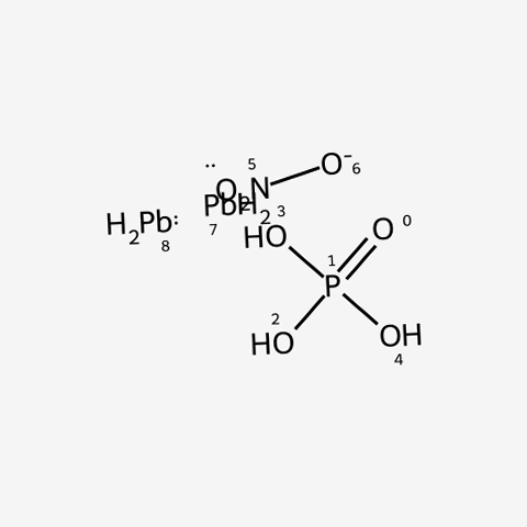 O=P(O)(O)O.O=[N+]([O-])[O-].[PbH2].[PbH2]